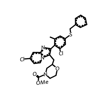 COC(=O)N1CCOC(Cc2c(-c3c(C)cc(SCc4ccccc4)cc3Cl)nc3cc(Cl)ccn23)C1